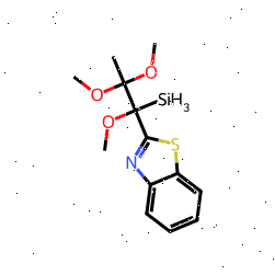 COC(C)(OC)C([SiH3])(OC)c1nc2ccccc2s1